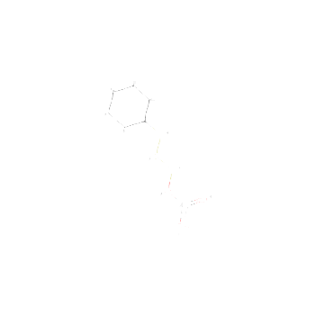 O=[AsH](O)OSSSC1CCCCC1